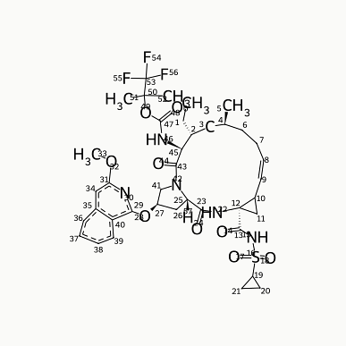 CC[C@@H]1C[C@@H](C)CC/C=C\C2C[C@@]2(C(=O)NS(=O)(=O)C2CC2)NC(=O)[C@@H]2C[C@@H](Oc3nc(OC)cc4ccccc34)CN2C(=O)[C@H]1NC(=O)OC(C)(C)C(F)(F)F